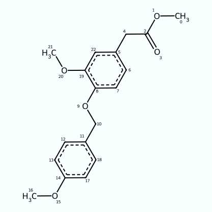 COC(=O)Cc1ccc(OCc2ccc(OC)cc2)c(OC)c1